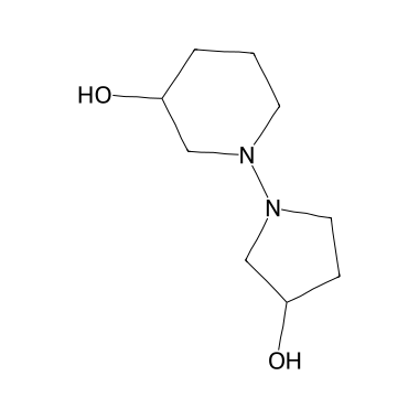 OC1CCCN(N2CCC(O)C2)C1